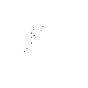 CN(C(=O)c1cccc(-n2nc(C(F)(F)F)c(Cl)c2CO[C@H]2CC[C@H](C(=O)O)CC2)c1)c1ccc2c(c1)OC(F)(F)O2